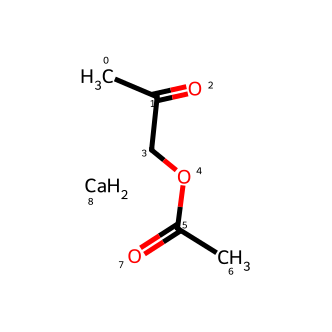 CC(=O)COC(C)=O.[CaH2]